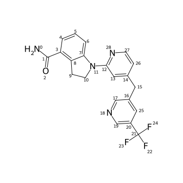 NC(=O)c1cccc2c1CCN2c1cc(Cc2cncc(C(F)(F)F)c2)ccn1